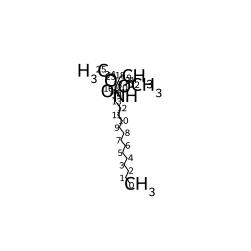 CCCCCCCCCCCCCCNC(=O)C(CC)(OCC)OCC